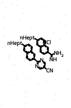 CCCCCCCc1ccc2cc(-c3ncc(C#N)cn3)ccc2c1.CCCCCCCc1ccc2cc(C(=N)N)ccc2c1.Cl